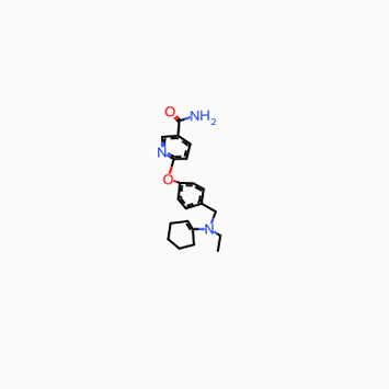 CCN(Cc1ccc(Oc2ccc(C(N)=O)cn2)cc1)C1=CCCCC1